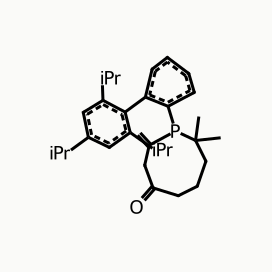 C=C1CC(=O)CCCC(C)(C)P1c1ccccc1-c1c(C(C)C)cc(C(C)C)cc1C(C)C